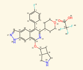 Fc1ccc(-c2c(C3CCOCC3)nc(OC3CC4CNCC43)c3cc4[nH]ncc4cc23)cc1.O=C(O)C(F)(F)F